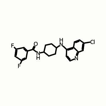 O=C(NC1CCC(Nc2ccnc3cc(Cl)ccc23)CC1)c1cc(F)cc(F)c1